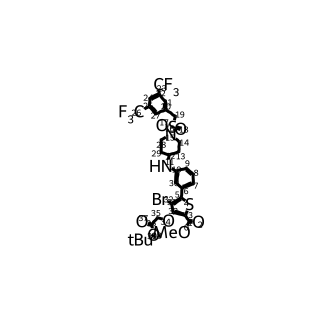 COC(=O)c1sc(-c2cccc(NC3CCN(S(=O)(=O)Cc4cc(C(F)(F)F)cc(C(F)(F)F)c4)CC3)c2)c(Br)c1OCC(=O)OC(C)(C)C